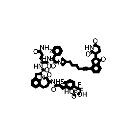 NC(=O)CC[C@H](NC(=O)[C@@H]1Cc2cccc3c2N1C(=O)[C@@H](NC(=O)c1cc2cc(C(F)(F)P(=O)(O)O)ccc2s1)CC3)C(=O)N[C@H](C(=O)N1CC(CCCCC#Cc2cccc3c2CC(C2CCC(=O)NC2=O)C3=O)C1)c1ccccc1